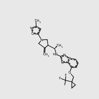 C=C1CN(c2cc(C)no2)CC1[C@@H](C)Nc1nc2c(OCC3(C(F)(F)F)CC3)cccn2n1